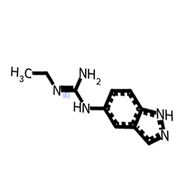 CC/N=C(\N)Nc1ccc2[nH]ncc2c1